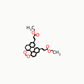 CCOC(=O)/C=C/c1ccc2c(c1)CCC1=C2c2c(ccc3cc(/C=C/C(=O)OCC)ccc23)OCO1